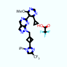 COc1ncnc(C2CC2)c1-c1ncc2cnn(CC34CC(c5nc(C(F)(F)F)cn5C(C)C)(C3)C4)c2n1.O=C(O)C(F)(F)F